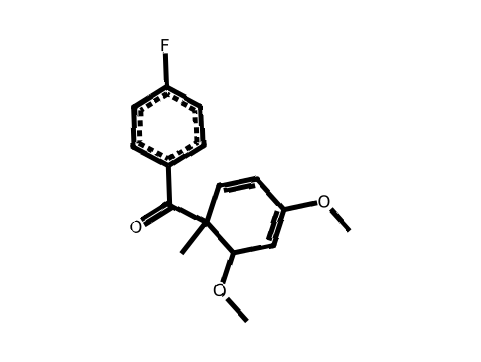 COC1=CC(OC)C(C)(C(=O)c2ccc(F)cc2)C=C1